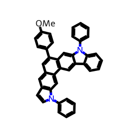 COc1ccc(-c2cc3cc4ccn(-c5ccccc5)c4cc3c3cc4c5ccccc5n(-c5ccccc5)c4cc23)cc1